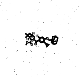 COC(=O)[C@@H]1[C@@H]2[C@H](CN1C(=O)c1cc(C3CC3)c(OCC34CC5CC(CC(C5)C3)C4)cc1F)CC2(C)C